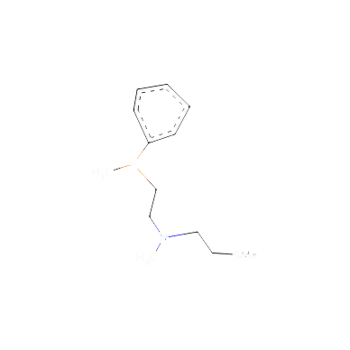 CSCCN(C)CCP(C)c1ccccc1